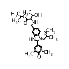 COC(C)CN1c2ccc(CNC(C(=O)OC(C)C)C(C)O)cc2NC1c1cc(C)c(=O)n(C)c1